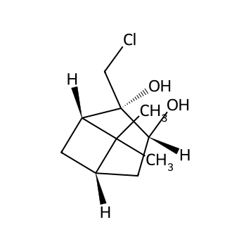 CC1(C)[C@@H]2C[C@@H](O)[C@](O)(CCl)[C@H]1C2